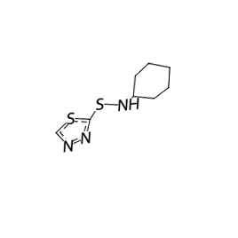 c1nnc(SNC2CCCCC2)s1